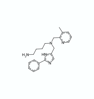 Cc1cccnc1CN(CCCCN)Cc1cnc(-c2ccccc2)[nH]1